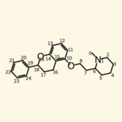 CN1CCCCC1CCOc1cccc2c1CCC(c1ccccc1)O2